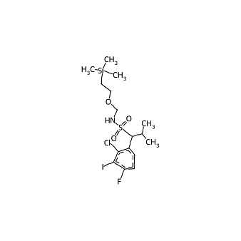 CC(C)C(c1ccc(F)c(I)c1Cl)S(=O)(=O)NCOCC[Si](C)(C)C